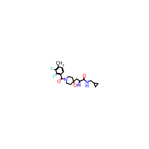 Cc1ccc(C(=O)N2CCC3(CC2)CC(C(=O)NCC2CC2)=NO3)c(F)c1F